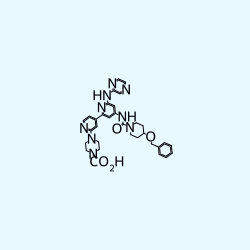 O=C(O)N1CCN(c2cc(-c3cc(NC(=O)N4CCC(OCc5ccccc5)CC4)cc(Nc4cnccn4)n3)ccn2)CC1